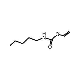 C=COC(=O)NCCCCC